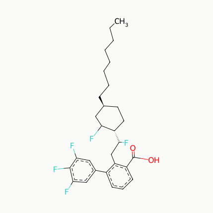 CCCCCCCC[C@H]1CC[C@H](C(F)Cc2c(C(=O)O)cccc2-c2cc(F)c(F)c(F)c2)C(F)C1